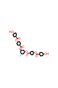 O=C(Oc1ccc(C(=O)Oc2cc(F)cc(OC(=O)c3ccc(OC(=O)c4ccc(O)cc4)cc3)c2)cc1)c1ccc(O)cc1